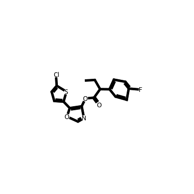 CCC(C(=O)Oc1ncoc1-c1ccc(Cl)s1)c1ccc(F)cc1